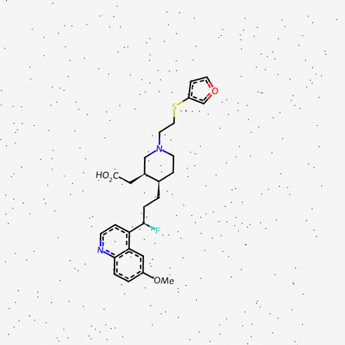 COc1ccc2nccc([C@H](F)CC[C@@H]3CCN(CCSc4ccoc4)C[C@@H]3CC(=O)O)c2c1